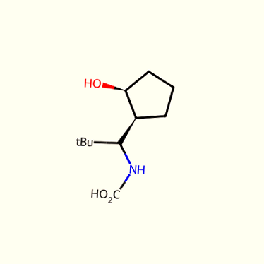 CC(C)(C)C(NC(=O)O)[C@@H]1CCC[C@@H]1O